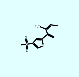 C=C(/C(=C\C)C(F)(F)F)c1cc(S(C)(=O)=O)cs1